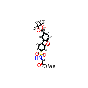 COC(=O)CNS(=O)(=O)c1ccc2c(c1)oc1ccc(B3OC(C)(C)C(C)(C)O3)cc12